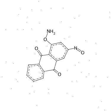 NOc1cc(N=O)cc2c1C(=O)c1ccccc1C2=O